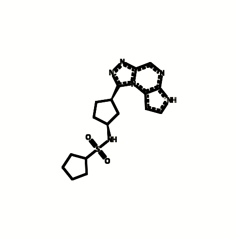 O=S(=O)(N[C@H]1CC[C@@H](c2nnc3cnc4[nH]ccc4n23)C1)C1CCCC1